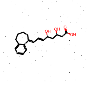 O=C(O)C[C@H](O)C[C@H](O)C=CC=C1CCCCc2ccccc21